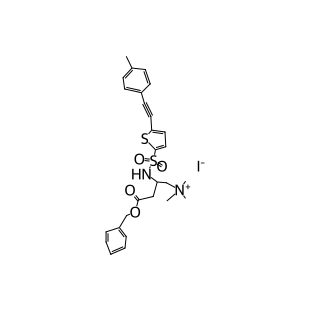 Cc1ccc(C#Cc2ccc(S(=O)(=O)NC(CC(=O)OCc3ccccc3)C[N+](C)(C)C)s2)cc1.[I-]